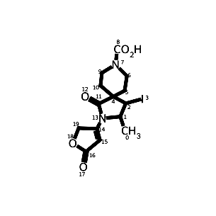 CC1C(I)C2(CCN(C(=O)O)CC2)C(=O)N1C1=CC(=O)OC1